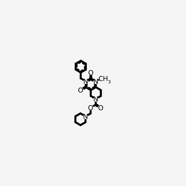 Cn1c2c(c(=O)n(Cc3ccccc3)c1=O)CN(C(=O)OCN1CCCCC1)CC2